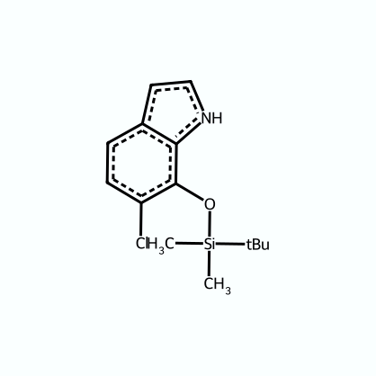 CC(C)(C)[Si](C)(C)Oc1c(Cl)ccc2cc[nH]c12